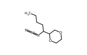 CCCCC(N=[N+]=[N-])C1COCCO1